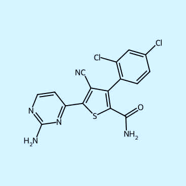 N#Cc1c(-c2ccnc(N)n2)sc(C(N)=O)c1-c1ccc(Cl)cc1Cl